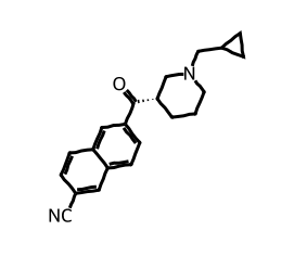 N#Cc1ccc2cc(C(=O)[C@H]3CCCN(CC4CC4)C3)ccc2c1